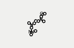 c1ccc(N(c2ccc(-c3nc4ccccc4n3-c3ccccc3)cc2)c2ccc3c(ccc4cc(N(c5ccccc5)c5ccc6oc7ccccc7c6c5)ccc43)c2)cc1